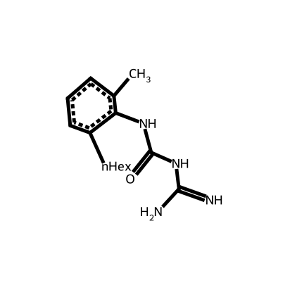 CCCCCCc1cccc(C)c1NC(=O)NC(=N)N